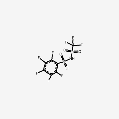 O=S(=O)(NS(=O)(=O)C(F)(F)F)c1c(F)c(F)c(F)c(F)c1F